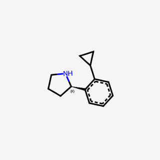 c1ccc([C@H]2CCCN2)c(C2CC2)c1